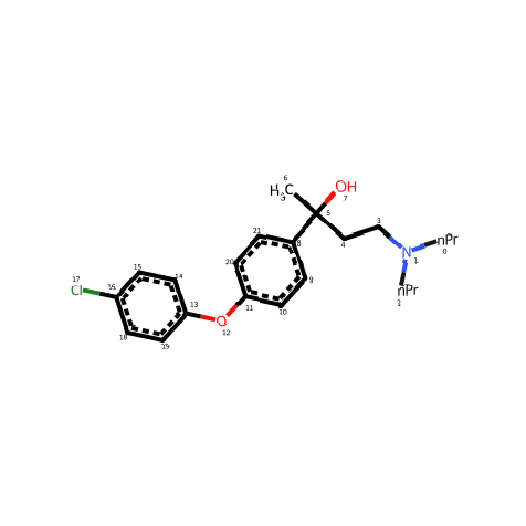 CCCN(CCC)CCC(C)(O)c1ccc(Oc2ccc(Cl)cc2)cc1